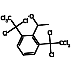 CC([O])c1c(C(Cl)(Cl)C(Cl)(Cl)Cl)cccc1C(Cl)(Cl)C(Cl)(Cl)Cl